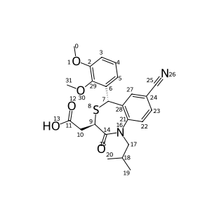 COc1cccc([C@H]2S[C@H](CC(=O)O)C(=O)N(CC(C)C)c3ccc(C#N)cc32)c1OC